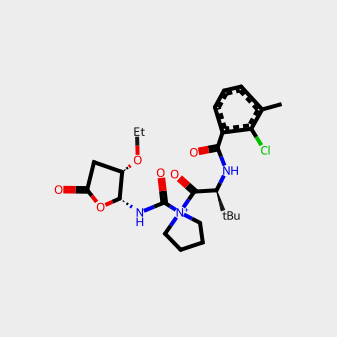 CCO[C@H]1CC(=O)O[C@H]1NC(=O)[N+]1(C(=O)[C@@H](NC(=O)c2cccc(C)c2Cl)C(C)(C)C)CCCC1